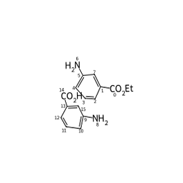 CCOC(=O)c1cccc(N)c1.Nc1cccc(C(=O)O)c1